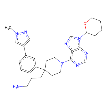 Cn1cc(-c2cccc(C3(CCCN)CCN(c4ncnc5c4ncn5C4CCCCO4)CC3)c2)cn1